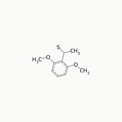 COc1cccc(OC)c1C(C)[S]